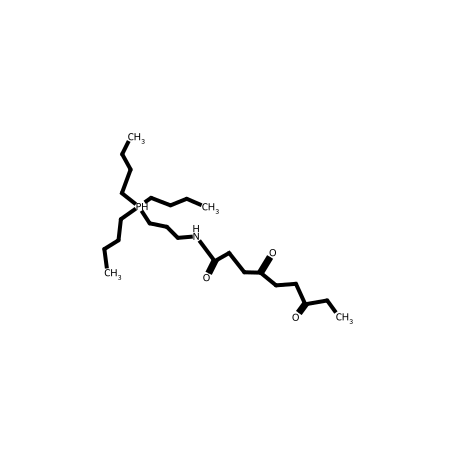 CCCC[PH](CCCC)(CCCC)CCCNC(=O)CCC(=O)CCC(=O)CC